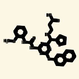 COc1ccccc1NC(=O)Nc1nc(Oc2ccc3ccccc3c2)nc(C(NCCC(=O)O)c2cccs2)n1